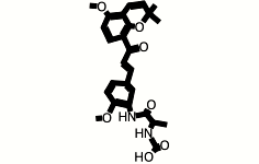 COc1ccc(C=CC(=O)c2ccc(OC)c3c2OC(C)(C)C=C3)cc1NC(=O)C(C)NC(=O)O